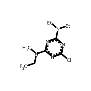 CCN(CC)c1nc(Cl)nc(N(C)CC(F)(F)F)n1